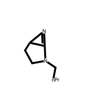 CCCCN1CCC2N=C21